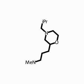 CNCCCC1CN(CC(C)C)CCO1